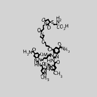 CCn1nc(C)cc1C(=O)Nc1nc2cc(C(N)=O)cc(OC)c2n1C/C=C/Cn1c(NC(=O)c2cc(C)nn2CC)nc2cc(C(N)=O)cc(OCCCOC3CN(C(=O)CCN4C(=O)CC(SC[C@H](N)C(=O)O)C4=O)C3)c21